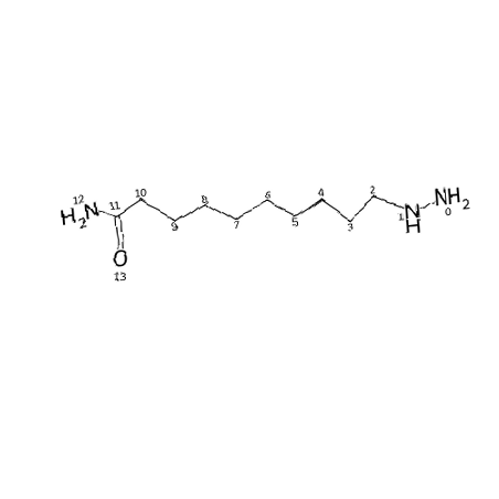 NNCCCCCCCCCC(N)=O